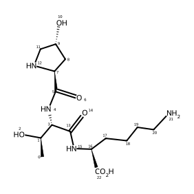 C[C@@H](O)[C@H](NC(=O)[C@@H]1C[C@@H](O)CN1)C(=O)N[C@@H](CCCCN)C(=O)O